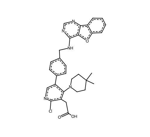 CC1(C)CCN(c2c(-c3ccc(CNc4ncnc5c4oc4ccccc45)cc3)cnc(Cl)c2CC(=O)O)CC1